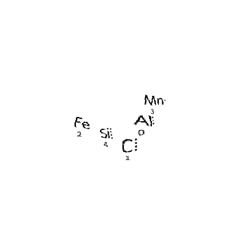 [Al].[C].[Fe].[Mn].[Si]